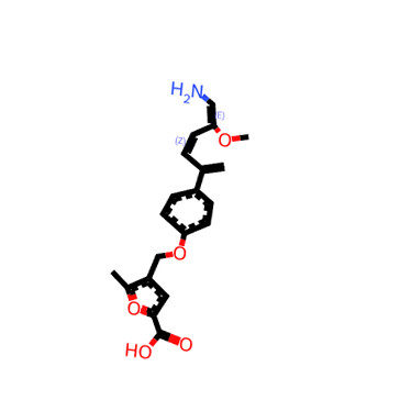 C=C(/C=C\C(=C/N)OC)c1ccc(OCc2cc(C(=O)O)oc2C)cc1